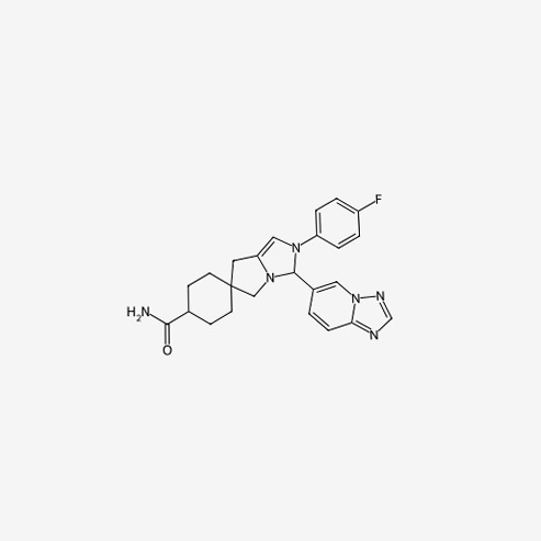 NC(=O)C1CCC2(CC1)CC1=CN(c3ccc(F)cc3)C(c3ccc4ncnn4c3)N1C2